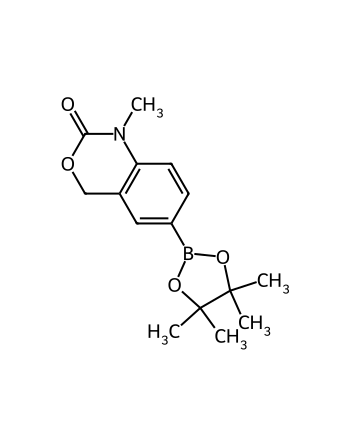 CN1C(=O)OCc2cc(B3OC(C)(C)C(C)(C)O3)ccc21